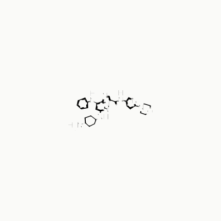 N[C@H]1CC[C@H](Nc2cc(Nc3ccccc3)c3ncc(C(=O)Nc4ccc(N5CCOCC5)nc4)n3n2)CC1